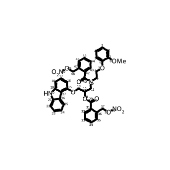 COc1ccccc1OCCN(CC(COc1cccc2[nH]c3ccccc3c12)OC(=O)c1ccccc1CO[N+](=O)[O-])C(=O)c1ccccc1CO[N+](=O)[O-]